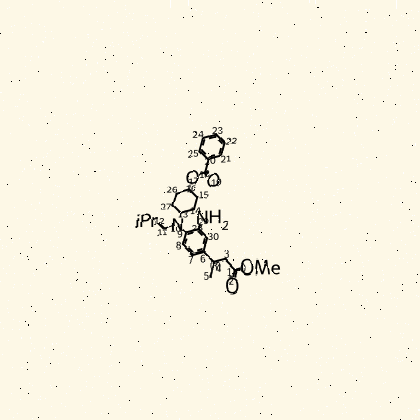 COC(=O)C[C@@H](C)c1ccc(N(CC(C)C)[C@H]2CC[C@@H](OC(=O)c3ccccc3)CC2)c(N)c1